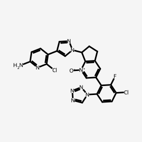 Nc1ccc(-c2cnn(C3CCc4cc(-c5c(-n6cnnn6)ccc(Cl)c5F)c[n+]([O-])c43)c2)c(Cl)n1